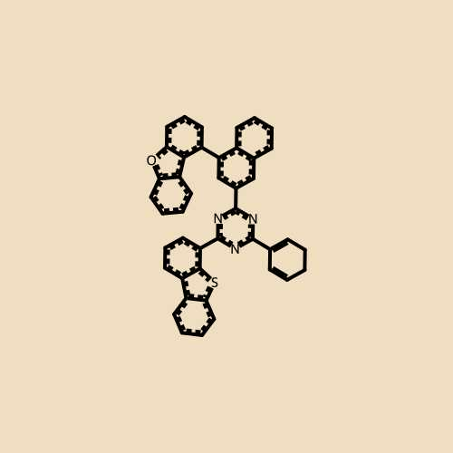 C1=CC(c2nc(-c3cc(-c4cccc5oc6ccccc6c45)c4ccccc4c3)nc(-c3cccc4c3sc3ccccc34)n2)=CCC1